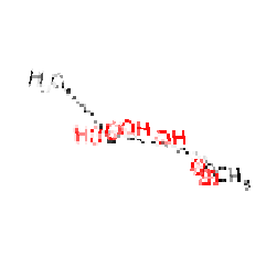 CCCCCCCCCCCC[C@@H](O)[C@H]1CC[C@H]([C@H](O)CCCCC[C@@H](O)CCCCCC[C@@H]2CC(CC(C)=O)C(=O)O2)O1